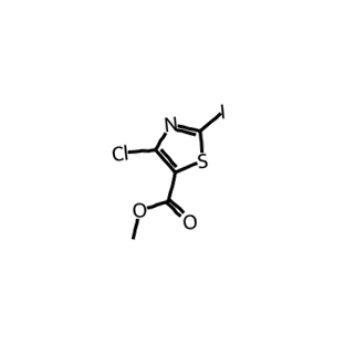 COC(=O)c1sc(I)nc1Cl